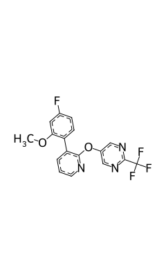 COc1cc(F)ccc1-c1cccnc1Oc1cnc(C(F)(F)F)nc1